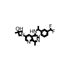 Cc1nnc(NC(C)c2cccc(C(F)F)c2)c2cc(N3CC(C)(O)C3)cnc12